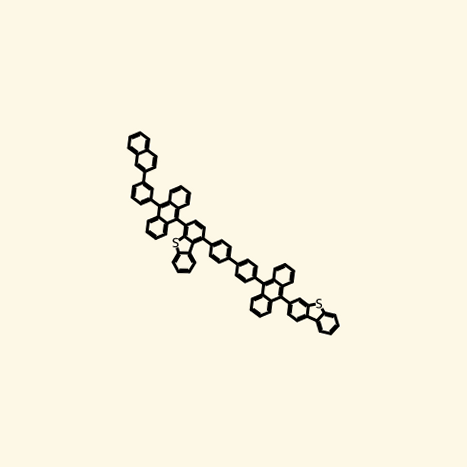 c1cc(-c2ccc3ccccc3c2)cc(-c2c3ccccc3c(-c3ccc(-c4ccc(-c5ccc(-c6c7ccccc7c(-c7ccc8c(c7)sc7ccccc78)c7ccccc67)cc5)cc4)c4c3sc3ccccc34)c3ccccc23)c1